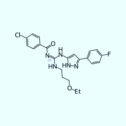 CCOCCCN/C(=N/C(=O)c1ccc(Cl)cc1)Nc1cc(-c2ccc(F)cc2)n[nH]1